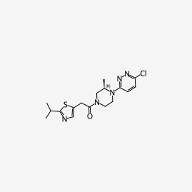 CC(C)c1ncc(CC(=O)N2CCN(c3ccc(Cl)nn3)[C@H](C)C2)s1